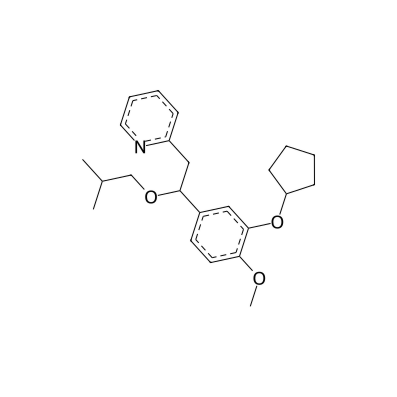 COc1ccc(C(Cc2ccccn2)OCC(C)C)cc1OC1CCCC1